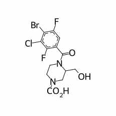 O=C(O)N1CCN(C(=O)c2cc(F)c(Br)c(Cl)c2F)C(CO)C1